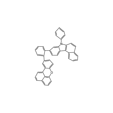 c1ccc(-n2c3cc(-c4ccccc4-c4ccc5c(c4)-c4cccc6cccc(c46)O5)ccc3c3c4ccccc4ccc32)cc1